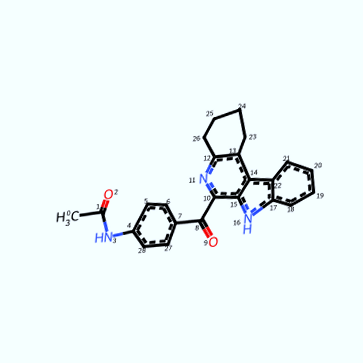 CC(=O)Nc1ccc(C(=O)c2nc3c(c4c2[nH]c2ccccc24)CCCC3)cc1